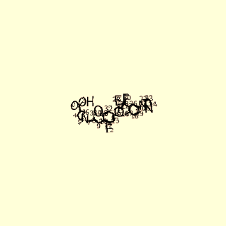 O=C(O)C1CCN(CC2=Cc3c(F)cc(OCc4ccc(-n5cccn5)cc4C(F)(F)F)cc3OC2)C1